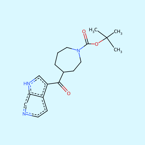 CC(C)(C)OC(=O)N1CCCC(C(=O)c2c[nH]c3cnccc23)CC1